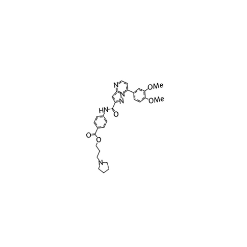 COc1ccc(-c2ccnc3cc(C(=O)Nc4ccc(C(=O)OCCCN5CCCC5)cc4)nn23)cc1OC